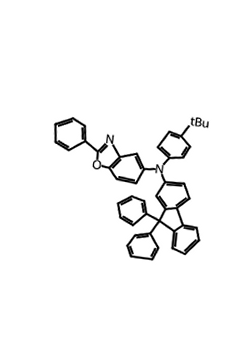 CC(C)(C)c1ccc(N(c2ccc3c(c2)C(c2ccccc2)(c2ccccc2)c2ccccc2-3)c2ccc3oc(-c4ccccc4)nc3c2)cc1